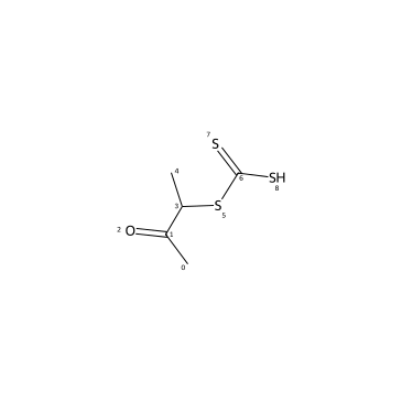 CC(=O)C(C)SC(=S)S